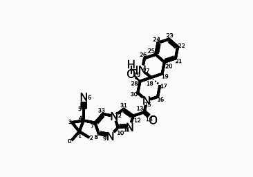 CC1(C)CC1(C#N)c1cnc2nc(C(=O)N3CC[C@]4(Cc5ccccc5CN4)[C@H](O)C3)cn2c1